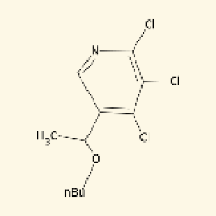 CCCCOC(C)c1cnc(Cl)c(Cl)c1Cl